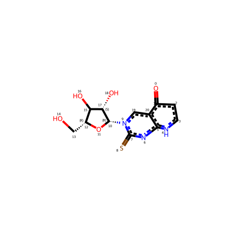 O=c1cc[nH]c2nc(=S)n([C@@H]3O[C@H](CO)C(O)[C@@H]3O)cc12